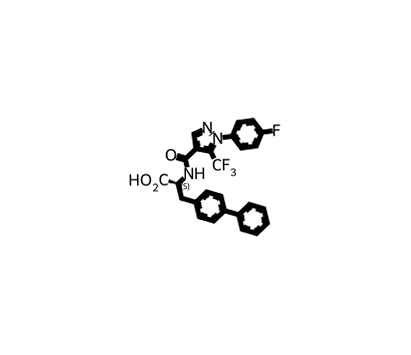 O=C(N[C@@H](Cc1ccc(-c2ccccc2)cc1)C(=O)O)c1cnn(-c2ccc(F)cc2)c1C(F)(F)F